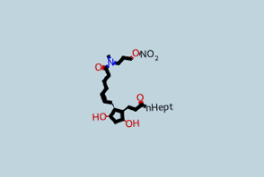 CCCCCCCC(=O)CC[C@@H]1[C@@H](C/C=C\CCCC(=O)N(C)CCCO[N+](=O)[O-])[C@@H](O)C[C@H]1O